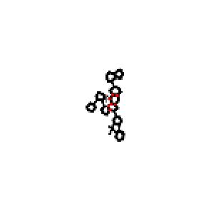 CC1(C)c2ccccc2-c2ccc(-c3ccc(N(c4cccc(-c5cccc6ccccc56)c4)c4cccc(-c5ccccc5)c4-c4ccccc4-c4ccccc4)cc3)cc21